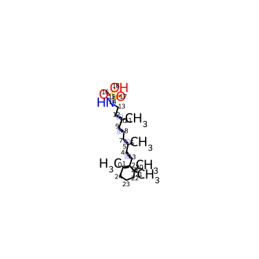 CC1=C(/C=C/C(C)=C/C=C/C(C)=C/CNS(=O)(=O)O)C(C)(C)CCC1